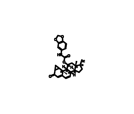 CC(=O)[C@H]1CC[C@H]2[C@@H]3C=CC4=CC(=O)C5CC5[C@@]4(C)[C@@H]3[C@@H](OC(=O)Nc3ccc4c(c3)OCO4)C[C@]12C